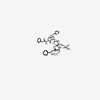 N=C(N)NCCC[C@H](NC(=O)[C@@H]1C[C@@H](Cc2ccccc2)[C@@H]2CCC(NC(=O)Cc3ccccc3)C(=O)N12)C(=O)N[C@@H](CC(=O)O)C(=O)NCCc1ccccc1